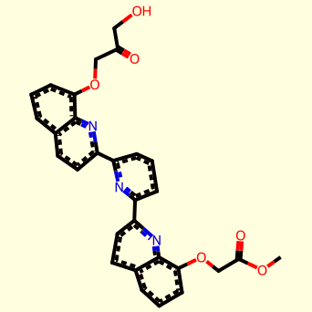 COC(=O)COc1cccc2ccc(-c3cccc(-c4ccc5cccc(OCC(=O)CO)c5n4)n3)nc12